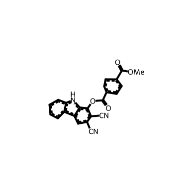 COC(=O)c1ccc(C(=O)Oc2c(C#N)c(C#N)cc3c2[nH]c2ccccc23)cc1